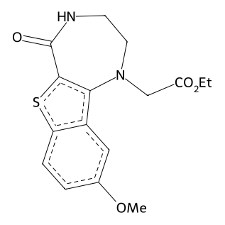 CCOC(=O)CN1CCNC(=O)c2sc3ccc(OC)cc3c21